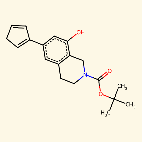 CC(C)(C)OC(=O)N1CCc2cc(C3=CCC=C3)cc(O)c2C1